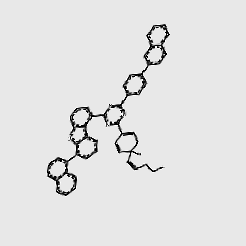 CCC/C=C\C1(C)C=CC(c2nc(-c3ccc(-c4ccc5ccccc5c4)cc3)nc(-c3cccc4oc5c(-c6cccc7ccccc67)cccc5c34)n2)=CC1